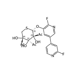 CC(=O)[C@]1(O)[C@@](O)(C(C)=O)CS[C@H](Oc2cc(-c3ccnc(F)c3)cnc2F)[C@@]1(O)C(C)=O